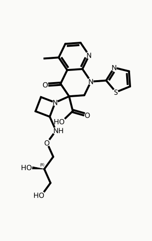 Cc1ccnc2c1C(=O)C(C(=O)O)(N1CCC1NOC[C@H](O)CO)CN2c1nccs1